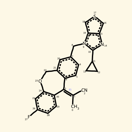 C/C(C#N)=C1/c2ccc(Cn3c(C4CC4)nc4cscc43)cc2COc2cc(F)ccc21